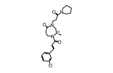 C[C@@H]1CN(CCC(=O)N2CCCCC2)C(=O)CCN1C(=O)C=Cc1cccc(Cl)c1